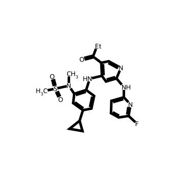 CCC(=O)c1cnc(Nc2cccc(F)n2)cc1Nc1ccc(C2CC2)cc1N(C)S(C)(=O)=O